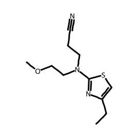 CCc1csc(N(CCC#N)CCOC)n1